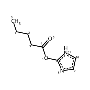 CCCCC(=O)Oc1ncc[nH]1